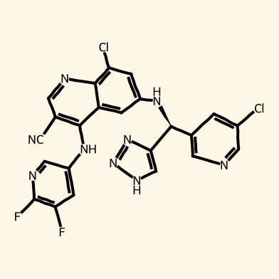 N#Cc1cnc2c(Cl)cc(N[C@@H](c3cncc(Cl)c3)c3c[nH]nn3)cc2c1Nc1cnc(F)c(F)c1